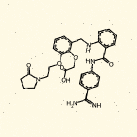 N=C(N)c1ccc(NC(=O)c2ccccc2NCc2cccc(OCCN3CCCC3=O)c2OCC(=O)O)cc1